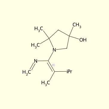 C=N/C(=C(\C)C(C)C)N1CC(C)(O)CC1(C)C